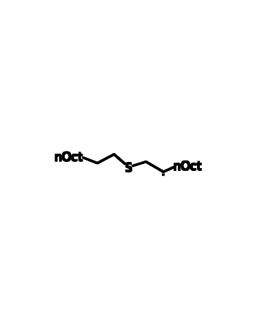 CCCCCCCC[CH]CSCCCCCCCCCC